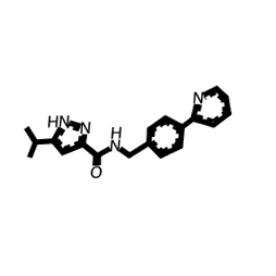 CC(C)c1cc(C(=O)NCc2ccc(-c3ccccn3)cc2)n[nH]1